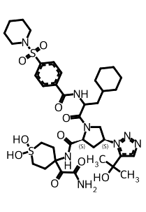 CC(C)(O)c1cnnn1[C@H]1C[C@@H](C(=O)NC2(C(=O)C(N)=O)CCS(O)(O)CC2)N(C(=O)C(CC2CCCCC2)NC(=O)c2ccc(S(=O)(=O)N3CCCCC3)cc2)C1